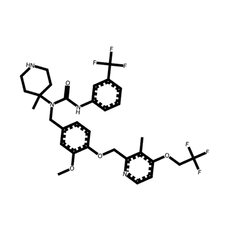 COc1cc(CN(C(=O)Nc2cccc(C(F)(F)F)c2)C2(C)CCNCC2)ccc1OCc1nccc(OCC(F)(F)F)c1C